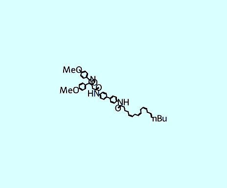 CCCC/C=C/C/C=C\C/C=C\C/C=C\CCCC(=O)Nc1ccc(-c2ccc(NC(=O)Cc3onc(-c4ccc(OC)cc4)c3-c3ccc(OC)cc3)cc2)cc1